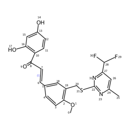 COc1ccc(/C=C/C(=O)c2ccc(O)cc2O)cc1CSc1nc(C)cc(C(F)F)n1